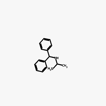 CC([SiH3])NC(c1ccccc1)c1ccccc1